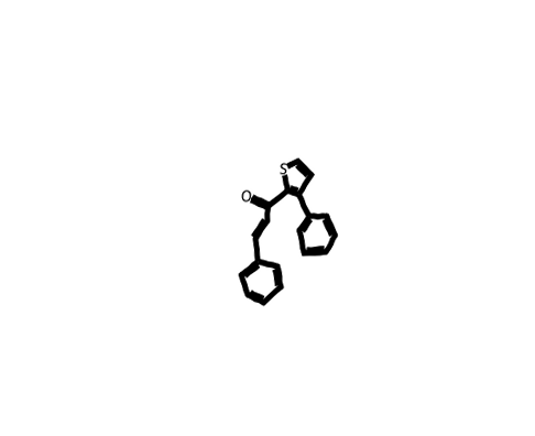 O=C(C=Cc1ccccc1)c1sccc1-c1ccccc1